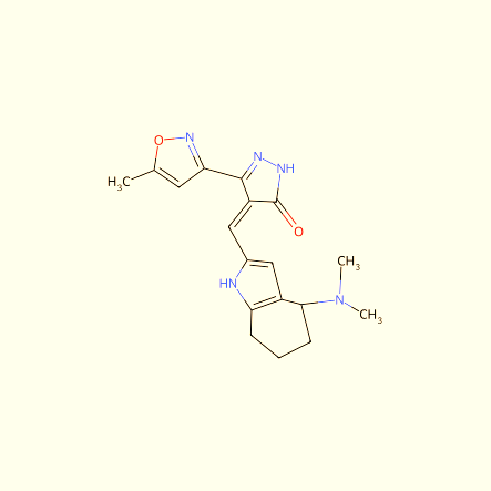 Cc1cc(C2=NNC(=O)C2=Cc2cc3c([nH]2)CCCC3N(C)C)no1